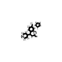 C1CC2CC1O2.CC(=O)CC(c1ccncc1)c1ccc(C)cc1